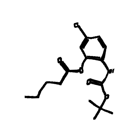 CCCCC(=O)Oc1cc(Cl)ccc1NC(=O)OC(C)(C)C